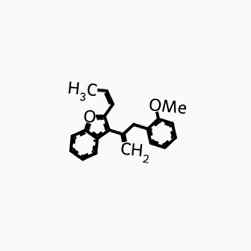 C=C(Cc1ccccc1OC)c1c(/C=C\C)oc2ccccc12